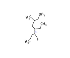 CC/C(F)=C(/CC)CC(C)CN